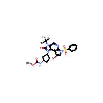 [2H]C([2H])([2H])n1c(=O)n([C@@H]2CC[C@@H](NC(=O)OC(C)(C)C)C2)c2c3c(Br)cn(S(=O)(=O)c4ccccc4)c3ncc21